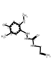 C=CCNC(=O)NNc1cc(C)c(Cl)cc1OC